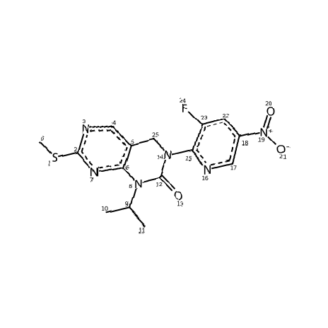 CSc1ncc2c(n1)N(C(C)C)C(=O)N(c1ncc([N+](=O)[O-])cc1F)C2